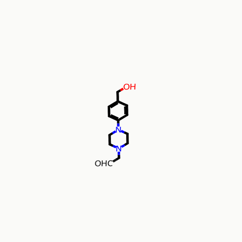 O=CCN1CCN(c2ccc(CO)cc2)CC1